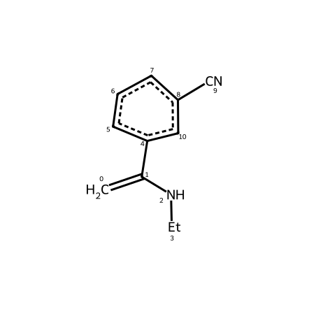 C=C(NCC)c1cccc(C#N)c1